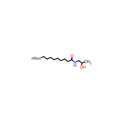 CCCCCCCCCCCCCCCCCC(=O)NCC(C)O